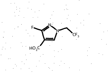 O=C(O)c1cn(CC(F)(F)F)nc1F